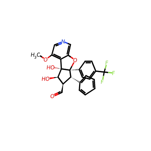 COc1cncc2c1[C@]1(O)[C@H](O)[C@H](C=O)[C@@H](c3ccccc3)[C@]1(c1ccc(C(F)(F)F)cc1)O2